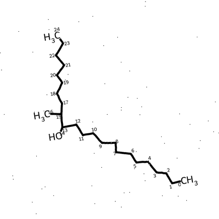 CCCCCCCCCCCCCC(O)C(C)CCCCCCCC